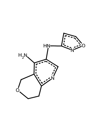 Nc1c(Nc2ccon2)cnc2c1COCC2